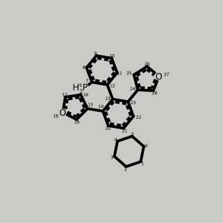 C1CCCCC1.Pc1ccccc1-c1c(-c2ccoc2)cccc1-c1ccoc1